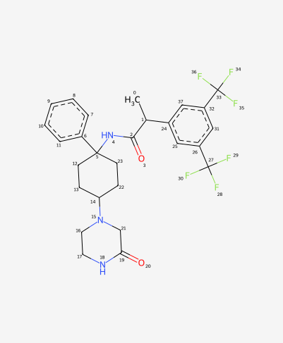 CC(C(=O)NC1(c2ccccc2)CCC(N2CCNC(=O)C2)CC1)c1cc(C(F)(F)F)cc(C(F)(F)F)c1